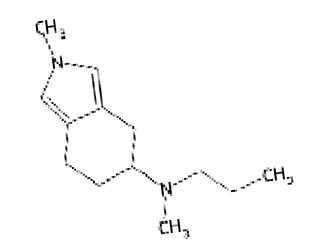 CCCN(C)C1CCc2cn(C)cc2C1